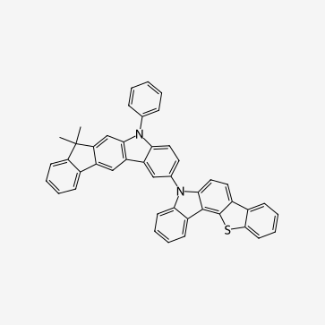 CC1(C)c2ccccc2-c2cc3c4cc(-n5c6ccccc6c6c7sc8ccccc8c7ccc65)ccc4n(-c4ccccc4)c3cc21